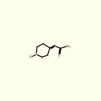 CCN1CCC(=CC(N)=O)CC1